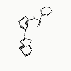 O=C(Nc1cccc(-c2cc3ccccc3s2)c1)N1CCCC1